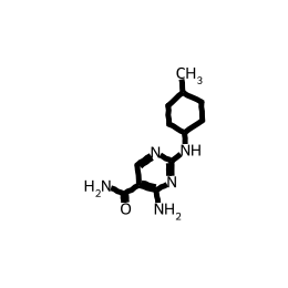 CC1CCC(Nc2ncc(C(N)=O)c(N)n2)CC1